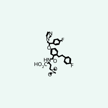 CS(=O)(=O)CCC(NC(=O)c1cc(OC(Cn2ccnc2)c2ccc(F)cc2)ccc1CCc1ccc(F)cc1)C(=O)O